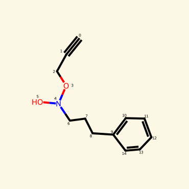 C#CCON(O)CCCc1ccccc1